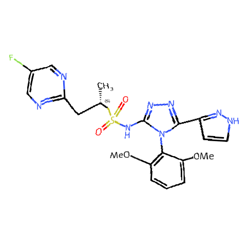 COc1cccc(OC)c1-n1c(NS(=O)(=O)[C@@H](C)Cc2ncc(F)cn2)nnc1-c1cc[nH]n1